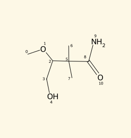 COC(CO)C(C)(C)C(N)=O